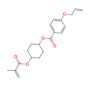 C=CCOc1ccc(C(=O)OC2CCC(OC(=O)C(=C)C)CC2)cc1